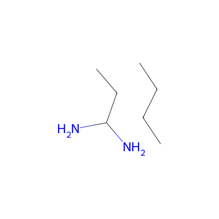 CCC(N)N.CCCC